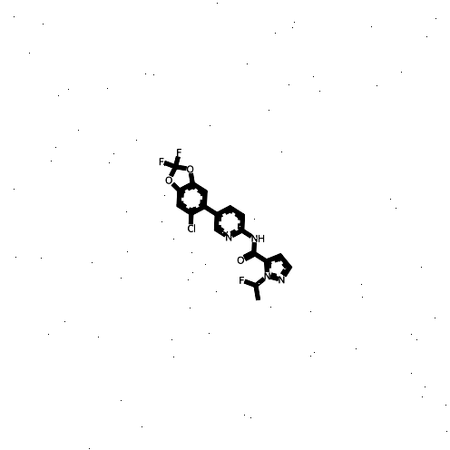 CC(F)n1nccc1C(=O)Nc1ccc(-c2cc3c(cc2Cl)OC(F)(F)O3)cn1